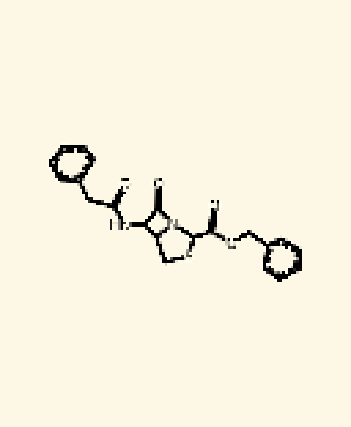 O=C(Cc1ccccc1)NC1C(=O)N2C(C(=O)OCc3ccccc3)SCC12